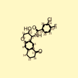 O=C(NC1c2cc3c(cc2OCC1O)CCCC3=O)c1ccc(F)c(Cl)c1